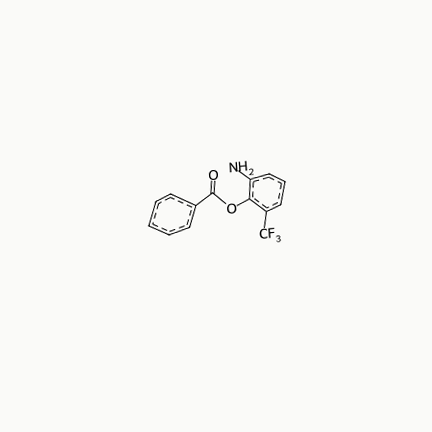 Nc1cccc(C(F)(F)F)c1OC(=O)c1ccccc1